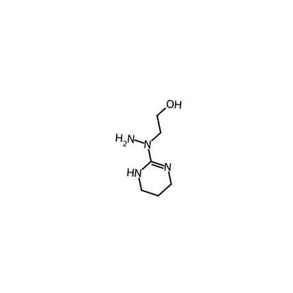 NN(CCO)C1=NCCCN1